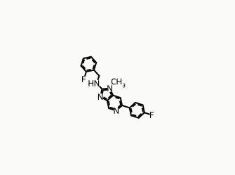 Cn1c(NCc2ccccc2F)nc2cnc(-c3ccc(F)cc3)cc21